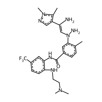 Cc1ccc(C(=O)Nc2cc(C(F)(F)F)ccc2NCCN(C)C)cc1N(N)/C=C(\N)c1cnn(C)c1C